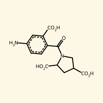 Nc1ccc(C(=O)N2CC(C(=O)O)CC2C(=O)O)c(C(=O)O)c1